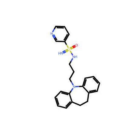 N=S(=O)(NCCCN1c2ccccc2CCc2ccccc21)c1cccnc1